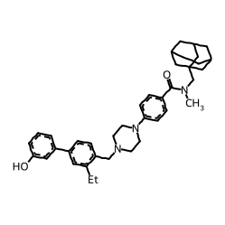 CCc1cc(-c2cccc(O)c2)ccc1CN1CCN(c2ccc(C(=O)N(C)CC34CC5CC(CC(C5)C3)C4)cc2)CC1